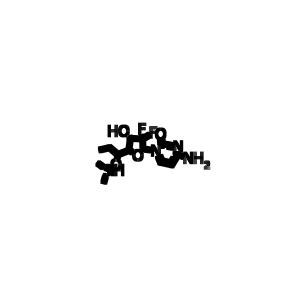 CCC(O[SiH](C)C)C1OC(n2ccc(N)nc2=O)C(F)(F)C1O